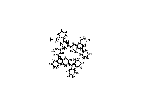 CC1CC=CC=C1c1nc(-c2cccc(-n3c4ccccc4c4cc(-n5c6ccccc6c6ccccc65)ccc43)c2)nc(-c2ccc3c(c2)c2ccccc2n3-c2ccccc2)n1